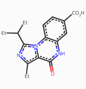 CCc1nc(C(CC)CC)n2c1c(=O)[nH]c1cc(C(=O)O)ccc12